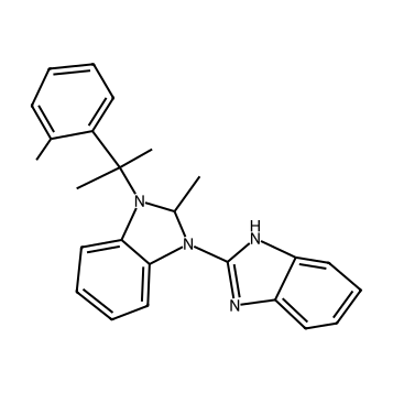 Cc1ccccc1C(C)(C)N1c2ccccc2N(c2nc3ccccc3[nH]2)C1C